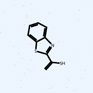 C=C(S)c1nc2ccccc2s1